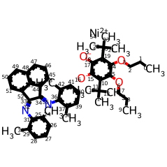 CCCOc1c(OCCC)c(C(C)(C)C)c([O-])c([O-])c1C(C)(C)C.Cc1cccc(C)c1/N=C1\C(=N\c2c(C)cccc2C)c2cccc3cccc1c23.[Ni+2]